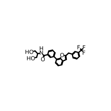 O=C(NC(CO)CO)c1cccc(-c2cccc3cc(Cc4cccc(C(F)(F)F)c4)oc23)c1